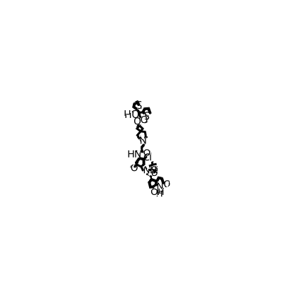 COc1cc(NC(=O)CCN2CCC3(CC2)CC(OC(=O)C(O)(c2cccs2)c2cccs2)C3)c(Cl)cc1CNC[C@H](O[Si](C)(C)C(C)(C)C)c1ccc(O)c2[nH]c(=O)ccc12